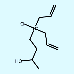 C=CC[N+](Cl)(CC=C)CCC(C)O